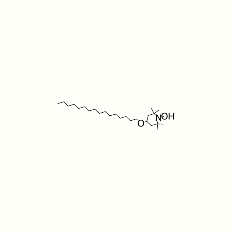 CCCCCCCCCCCCCCCCOC1CC(C)(C)N(O)C(C)(C)C1